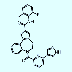 Cc1cccc(F)c1NC(=O)c1cc2c(s1)-c1ccccc1N(C(=O)c1cccc(-c3cn[nH]c3)n1)CC2